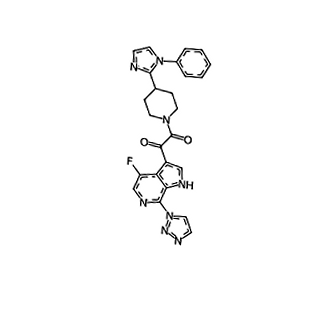 O=C(C(=O)N1CCC(c2nccn2-c2ccccc2)CC1)c1c[nH]c2c(-n3ccnn3)ncc(F)c12